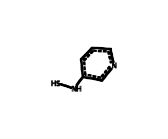 SNc1cccnc1